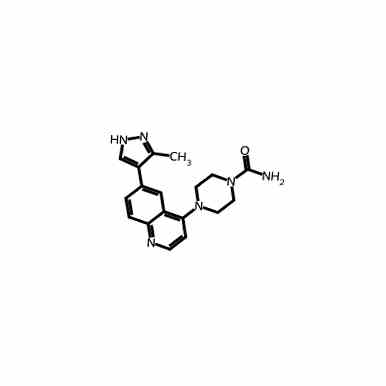 Cc1n[nH]cc1-c1ccc2nccc(N3CCN(C(N)=O)CC3)c2c1